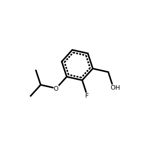 CC(C)Oc1cccc(CO)c1F